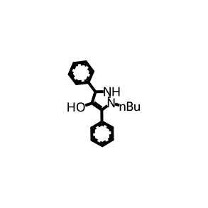 CCCCN1NC(c2ccccc2)C(O)=C1c1ccccc1